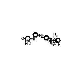 CC1(C)[C@@H]2CC[C@@]1(C)[C@@H](NCc1ccc(CNc3cccc(NC4CCC(=O)NC4=O)c3)cc1)C2